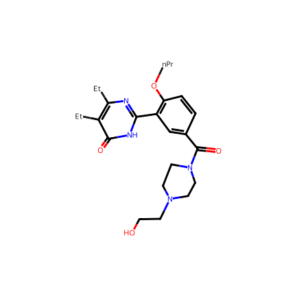 CCCOc1ccc(C(=O)N2CCN(CCO)CC2)cc1-c1nc(CC)c(CC)c(=O)[nH]1